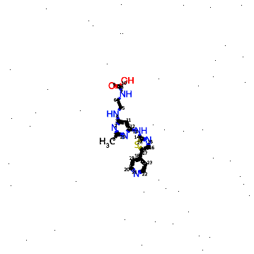 Cc1nc(NCCNC(=O)O)cc(Nc2ncc(-c3ccncc3)s2)n1